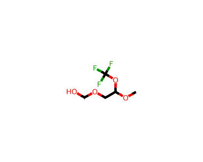 COC(CO[CH]O)OC(F)(F)F